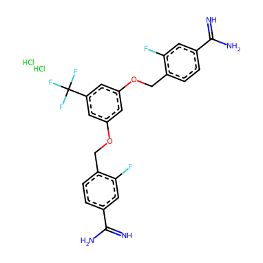 Cl.Cl.N=C(N)c1ccc(COc2cc(OCc3ccc(C(=N)N)cc3F)cc(C(F)(F)F)c2)c(F)c1